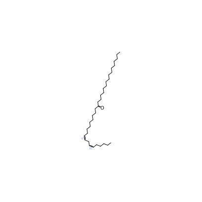 CCCCC/C=C\C/C=C\CCCCCCCCC(=O)CCCCCCCCCCCCCCCC